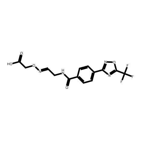 O=C(O)CON=CCNC(=O)c1ccc(-c2noc(C(F)(F)F)n2)cc1